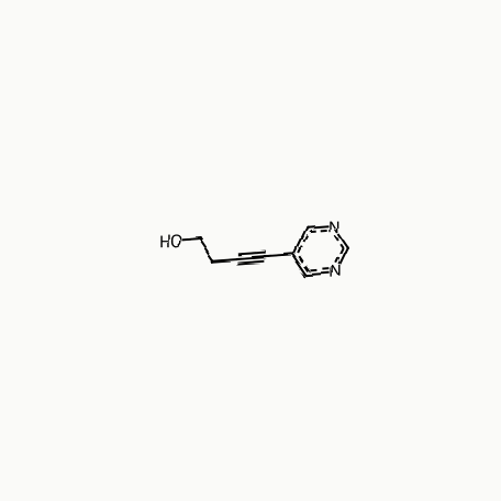 OCCC#Cc1cncnc1